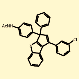 CC(=O)Nc1ccc(C2(c3ccccc3)C=C(c3cccc(Cl)c3)c3c2sc2ccccc32)cc1